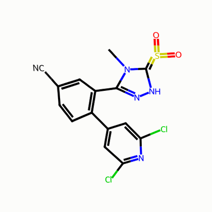 Cn1c(-c2cc(C#N)ccc2-c2cc(Cl)nc(Cl)c2)n[nH]c1=S(=O)=O